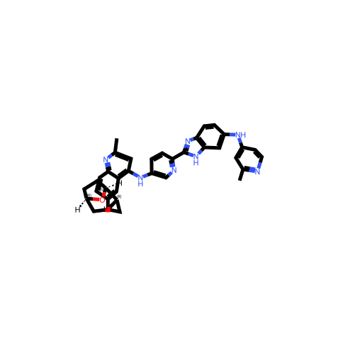 Cc1cc(Nc2ccc3nc(-c4ccc(Nc5cc(C)nc6ccc(C78C[C@H]9CC[C@H](O9)[C@@H]7C8)cc56)cn4)[nH]c3c2)ccn1